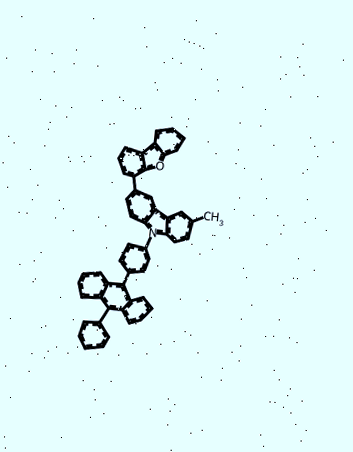 Cc1ccc2c(c1)c1cc(-c3cccc4c3oc3ccccc34)ccc1n2-c1ccc(-c2c3ccccc3c(-c3ccccc3)c3ccccc23)cc1